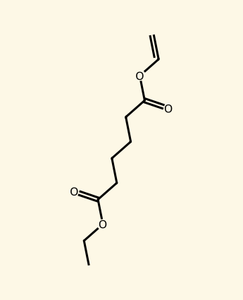 C=COC(=O)CCCCC(=O)OCC